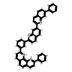 c1ccc(-c2ccc3ccc(-c4ccc5ccc(-c6cccc(-c7ccc8ccc9ccc(-c%10ccccc%10)nc9c8n7)c6)nc5c4)nc3c2)cc1